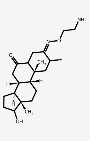 C[C@]12CC(F)C(=NOCCN)CC1C(=O)C[C@@H]1[C@H]2CC[C@]2(C)C(O)CC[C@@H]12